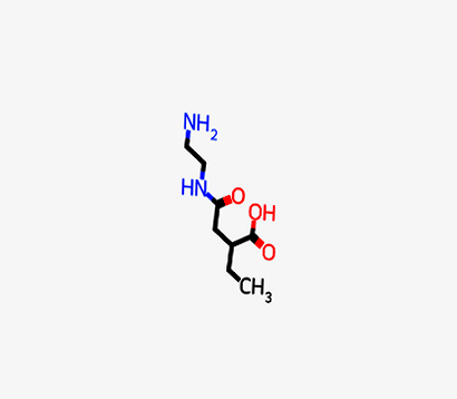 CCC(CC(=O)NCCN)C(=O)O